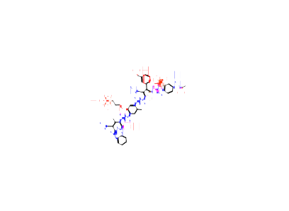 CC(=O)Nc1ccc(N=Nc2sc(N=Nc3cc(OCCCS(=O)(=O)O)c(N=Nc4c(C)c(C#N)c5nc6ccccc6n5c4O)cc3C)c(C#N)c2-c2cccc(CO)c2)c(S(=O)(=O)O)c1